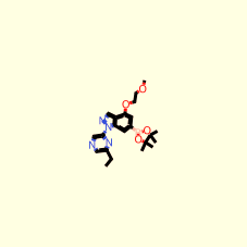 CCc1cncc(-n2ncc3c(OCCOC)cc(B4OC(C)(C)C(C)(C)O4)cc32)n1